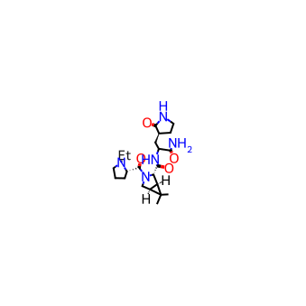 CCN1CCC[C@H]1C(=O)N1C[C@H]2[C@@H]([C@H]1C(=O)NC(C[C@@H]1CCNC1=O)C(N)=O)C2(C)C